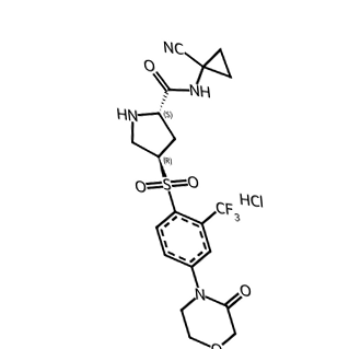 Cl.N#CC1(NC(=O)[C@@H]2C[C@@H](S(=O)(=O)c3ccc(N4CCOCC4=O)cc3C(F)(F)F)CN2)CC1